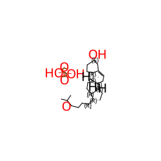 C[C@H](CCC1OC1(C)C)[C@H]1CC[C@H]2[C@@H]3CC=C4C[C@@H](O)CC[C@]4(C)[C@H]3CC[C@]12C.O=S(=O)(O)O